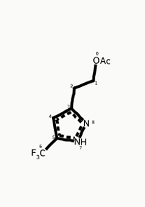 CC(=O)OCCc1cc(C(F)(F)F)[nH]n1